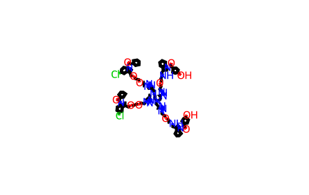 O=C(c1ccc(O)cc1)n1cc(CNCCOCCn2cc(CN(CCN(Cc3cn(CCOCCOCc4cn(C(=O)c5ccccc5)c5ccc(Cl)cc45)nn3)Cc3cn(CCOCCOCc4cn(C(=O)c5ccccc5)c5ccc(Cl)cc45)nn3)Cc3cn(CCOCCNCc4cn(C(=O)c5ccc(O)cc5)c5ccccc45)nn3)nn2)c2ccccc21